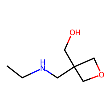 CCNCC1(CO)COC1